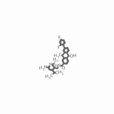 C=C(C)c1cc(N)nc(C)c1CNC(=O)c1ccc2c(c1)[C@H](C)c1cc(-c3ccc(F)cc3F)ccc1[C@@H]2O